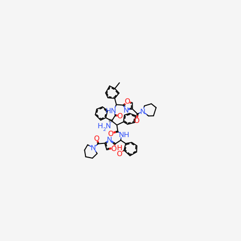 Cc1cccc(C(NC(=O)[C@](N)(c2ccccc2)C(C(=O)NC(c2nc(C(=O)N3CCCCC3)co2)c2ccccc2O)c2ccccc2)c2nc(C(=O)N3CCCCC3)co2)c1